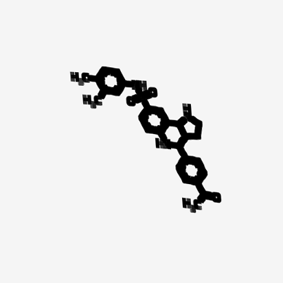 CC(=O)c1ccc(C2Nc3ccc(S(=O)(=O)Nc4ccc(C)c(C)c4)cc3C3NCCC23)cc1